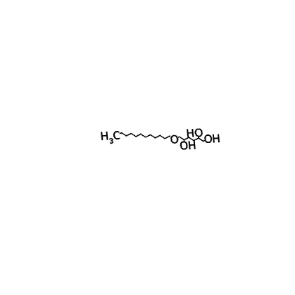 CCCCCCCCCCCCOCC(O)CCC(O)CO